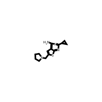 Nc1nc(C2CC2)nc2sc(CN3CCCC3)cc12